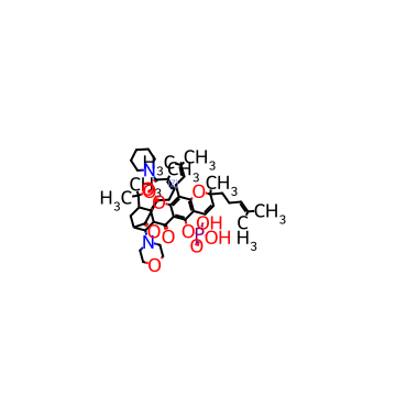 CC(C)=CCCC1(C)C=Cc2c(c(CC=C(C)C)c3c(c2OP(=O)(O)O)C(=O)C2C(N4CCOCC4)C4CC5C(C)(C)OC(C/C=C(/C)C(=O)N6CCCCC6)(C4=O)C25O3)O1